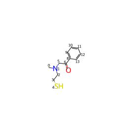 CN(CCS)CC(=O)c1ccccc1